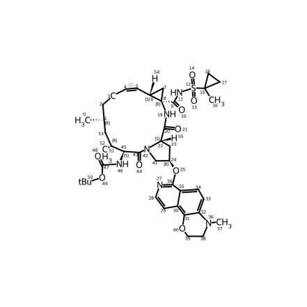 C[C@@H]1CC/C=C\[C@@H]2C[C@@]2(C(=O)NS(=O)(=O)C2(C)CC2)NC(=O)[C@@H]2C[C@@H](Oc3nccc4c5c(ccc34)N(C)CCO5)CN2C(=O)[C@@H](NC(=O)OC(C)(C)C)[C@H](C)C1